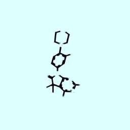 C[C@@H]1CN(c2ccc(N3C(=O)C(C)(C)c4c(Cl)nc(Cl)nc43)cc2F)C[C@H](C)O1